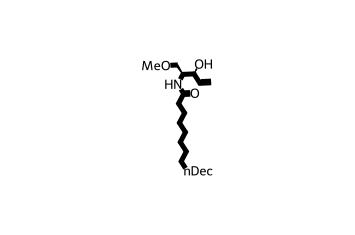 C=C[C@@H](O)[C@H](COC)NC(=O)CCCCCCCCCCCCCCCCC